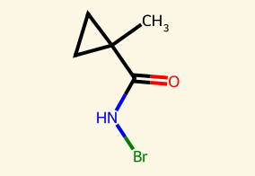 CC1(C(=O)NBr)CC1